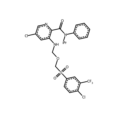 CC(C)N(C(=O)c1ncc(Cl)cc1NCOCS(=O)(=O)c1ccc(Cl)c(C(F)(F)F)c1)c1ccccc1